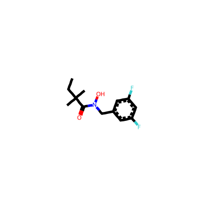 CCC(C)(C)C(=O)N(O)Cc1cc(F)cc(F)c1